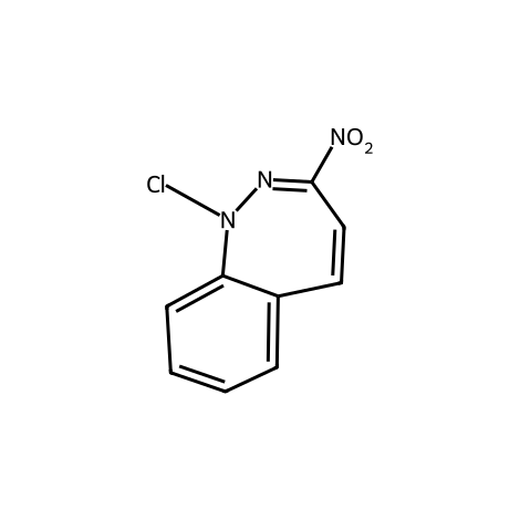 O=[N+]([O-])C1=NN(Cl)c2ccccc2C=C1